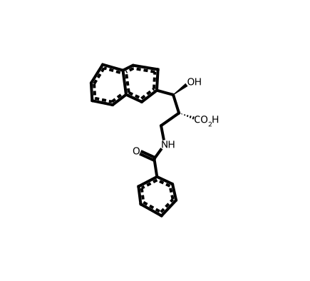 O=C(NC[C@@H](C(=O)O)[C@H](O)c1ccc2ccccc2c1)c1ccccc1